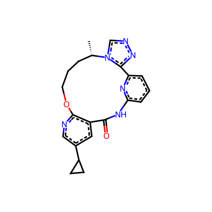 C[C@H]1CCCOc2ncc(C3CC3)cc2C(=O)Nc2cccc(n2)-c2nncn21